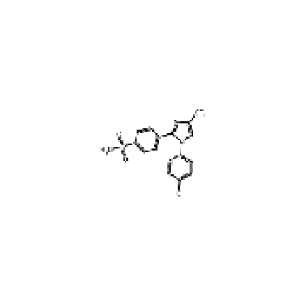 NS(=O)(=O)c1ccc(-c2nc(C(F)(F)F)cn2-c2ccc(Cl)cc2)cc1